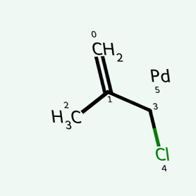 C=C(C)CCl.[Pd]